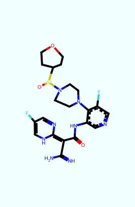 N=C(N)/C(C(=O)Nc1cncc(F)c1N1CCN([S+]([O-])C2CCOCC2)CC1)=C1/N=CC(F)=CN1